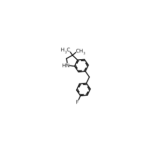 CC1(C)CNc2cc(Cc3ccc(F)cc3)ccc21